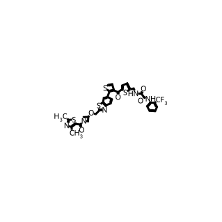 Cc1nc(C)c(C(=O)N2CC(OCc3nc4ccc(-c5sccc5C(=O)c5ccc(CNC(=O)C(=O)Nc6ccccc6C(F)(F)F)s5)cc4s3)C2)s1